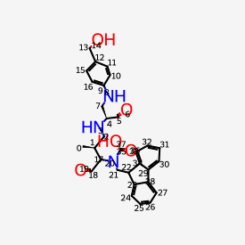 C[C@@H](CN[C@H](C=O)CNc1ccc(CO)cc1)C(C=O)N(CC1c2ccccc2-c2ccccc21)C(=O)O